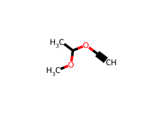 C#COC(C)OC